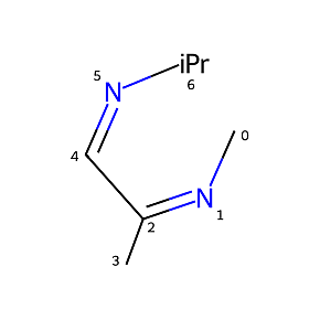 C/N=C(C)\C=N/C(C)C